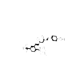 CN(C)c1ccc(C(F)(F)F)cc1/C=C/C(=O)CC(=O)/C=C/c1ccc(O)cc1